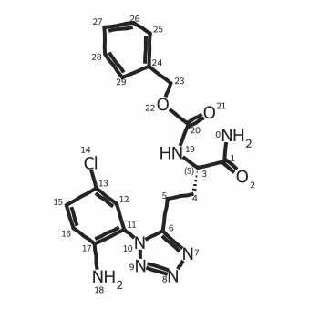 NC(=O)[C@H](CCc1nnnn1-c1cc(Cl)ccc1N)NC(=O)OCc1ccccc1